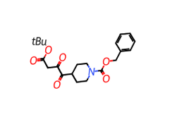 CC(C)(C)OC(=O)CC(=O)C(=O)C1CCN(C(=O)OCc2ccccc2)CC1